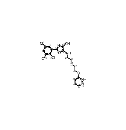 N#Cc1nc(-c2cc(Cl)cc(Cl)c2Cl)oc1NCCOCCOc1cccnn1